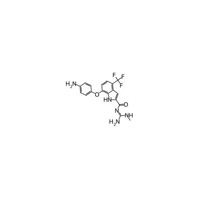 CNC(N)=NC(=O)c1cc2c(C(F)(F)F)ccc(Oc3ccc(N)cc3)c2[nH]1